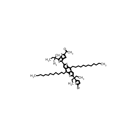 CCCCCCCCCCCCc1c2cc(C(CC)(CC)c3ccc(Br)s3)sc2c(CCCCCCCCCCCC)c2cc(-c3sc(C(C)(C)CC)c4sc(C(C)=O)cc34)sc12